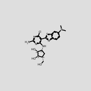 CN(C)c1ccc2nc(-c3c(Cl)nc(N)nc3N[C@@H]3C[C@H](CO)[C@@H](O)[C@H]3O)sc2c1